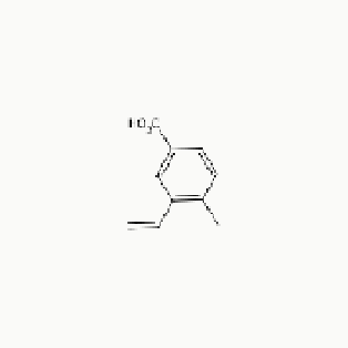 C=Cc1cc(C(=O)O)ccc1C